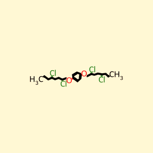 CCCC(Cl)CCC(Cl)COc1ccc(OCC(Cl)CCC(Cl)CCC)cc1